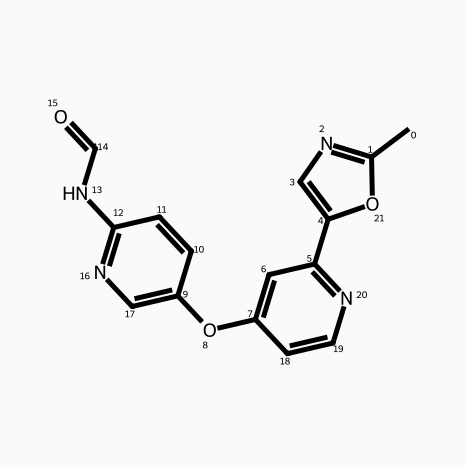 Cc1ncc(-c2cc(Oc3ccc(N[C]=O)nc3)ccn2)o1